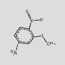 CSc1cc(N)ccc1[N+](=O)[O-]